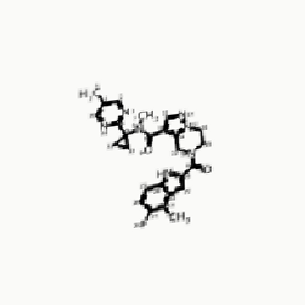 Cc1cnc(C2(N(C)C(=O)c3cnn4c3CN(C(=O)c3cc5c(C)c(F)ccc5[nH]3)CC4)CC2)nc1